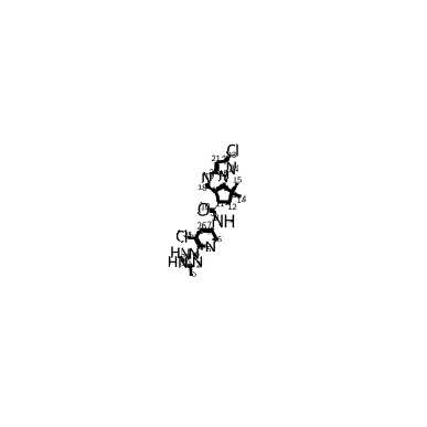 CC1=NN(c2ncc(NC(=O)[C@H]3CC(C)(C)c4c3cnc3cc(Cl)nn43)cc2Cl)NN1